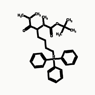 CN(C)C(=O)C(CCCC[PH](c1ccccc1)(c1ccccc1)c1ccccc1)N(C)C(=O)OC(C)(C)C